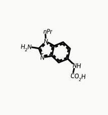 CCCn1c(N)nc2cc(NC(=O)O)ccc21